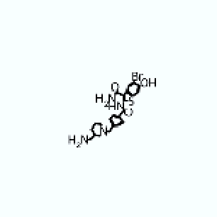 NCC1CCCN(Cc2ccc(C(=O)Nc3sc4cc(O)c(Br)cc4c3C(N)=O)cc2)C1